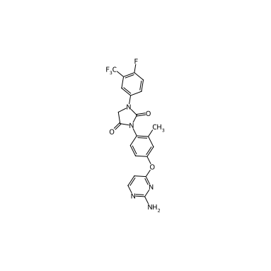 Cc1cc(Oc2ccnc(N)n2)ccc1N1C(=O)CN(c2ccc(F)c(C(F)(F)F)c2)C1=O